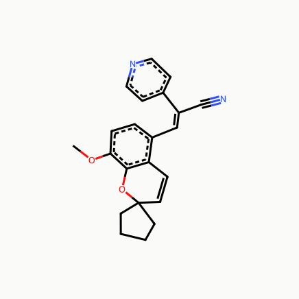 COc1ccc(/C=C(/C#N)c2ccncc2)c2c1OC1(C=C2)CCCC1